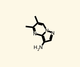 Cc1cn2ncc(N)c2nc1C